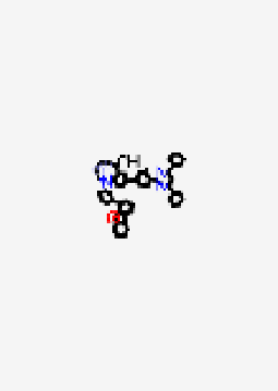 C=C1/C=C\C=C/CN(c2cccc(-c3cccc4c3oc3ccccc34)c2)c2ccc(-c3ccc(-c4nc(-c5ccccc5)cc(-c5ccccc5)n4)cc3)cc21